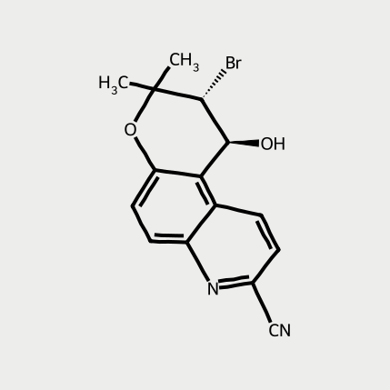 CC1(C)Oc2ccc3nc(C#N)ccc3c2[C@H](O)[C@H]1Br